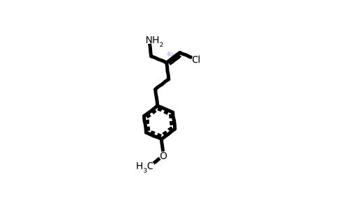 COc1ccc(CC/C(=C\Cl)CN)cc1